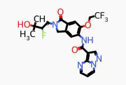 CC(C)(O)[C@H](F)CN1Cc2cc(NC(=O)c3cnn4cccnc34)c(OCC(F)(F)F)cc2C1=O